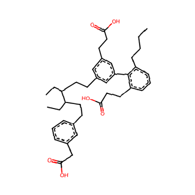 CCCCc1cccc(CCC(=O)O)c1-c1cc(CCC(=O)O)cc(CCC(CC)C(CC)CCc2cccc(CC(=O)O)c2)c1